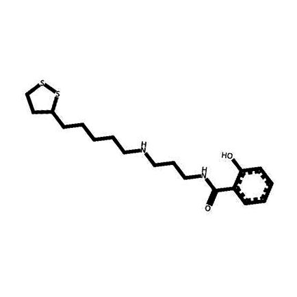 O=C(NCCCNCCCCCC1CCSS1)c1ccccc1O